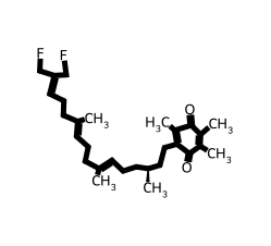 CC1=C(C)C(=O)C(CC[C@@H](C)CC/C=C(\C)CC/C=C(\C)CCC=C(CF)CF)=C(C)C1=O